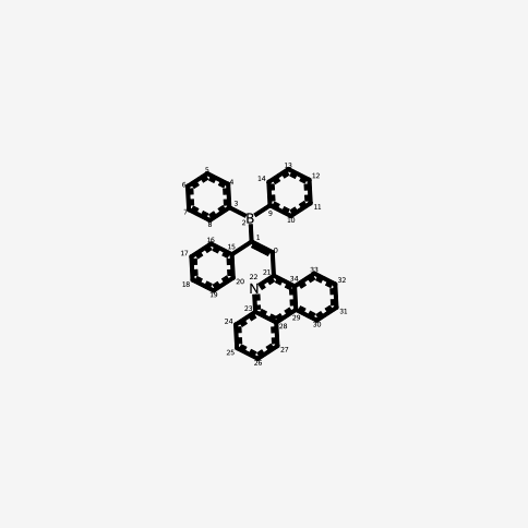 C(=C(B(c1ccccc1)c1ccccc1)c1ccccc1)c1nc2ccccc2c2ccccc12